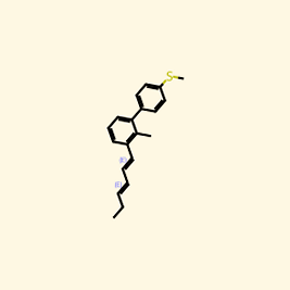 CC/C=C/C=C/c1cccc(-c2ccc(SC)cc2)c1C